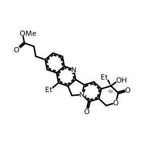 CCc1c2c(nc3ccc(CCC(=O)OC)cc13)-c1cc3c(c(=O)n1C2)COC(=O)[C@]3(O)CC